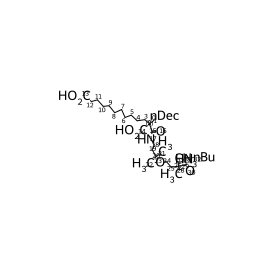 CCCCCCCCCCC[C@@](CCCCCCCCCCC(=O)O)(C(=O)O)C(=O)NCCC(C)(C)OCCC(C)(C)C(=O)NCCCC